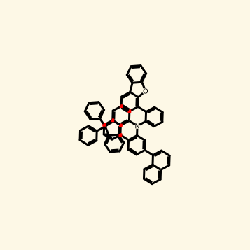 c1ccc(-c2ccc(-c3cccc4ccccc34)cc2N(c2ccccc2-c2cccc3c2oc2ccccc23)c2cccc3c2-c2ccccc2C3(c2ccccc2)c2ccccc2)cc1